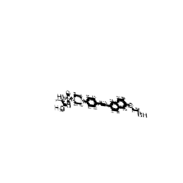 C[C@@H](NS(=O)(=O)N1CCN(c2ccc(C#Cc3ccc4cc(OCCO)ccc4c3)cc2)CC1)C(=O)O